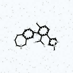 Cc1ccc(-c2cnn(C)c2)c(C(F)F)c1-c1ccc2c(c1)CNCCC2